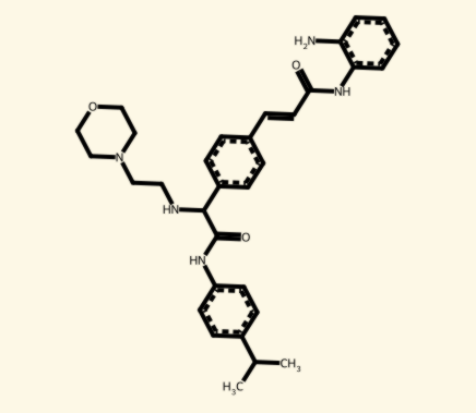 CC(C)c1ccc(NC(=O)C(NCCN2CCOCC2)c2ccc(C=CC(=O)Nc3ccccc3N)cc2)cc1